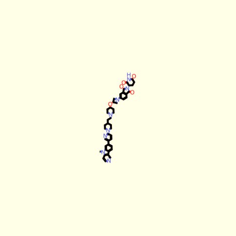 Cn1c2ccncc2c2ccc(-c3ccc(N4CCC(CCN5CCC(OC6CN(c7ccc8c(c7)C(=O)N(C7CCC(=O)NC7=O)C8=O)C6)CC5)CC4)nc3)cc21